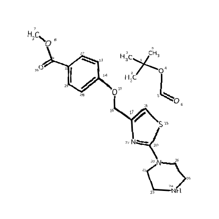 CC(C)(C)OC=O.COC(=O)c1ccc(OCc2csc(N3CCNCC3)n2)cc1